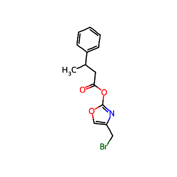 CC(CC(=O)Oc1nc(CBr)co1)c1ccccc1